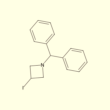 IC1CN(C(c2ccccc2)c2ccccc2)C1